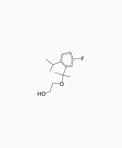 CC(C)c1ccc(F)cc1C(C)(C)OCCO